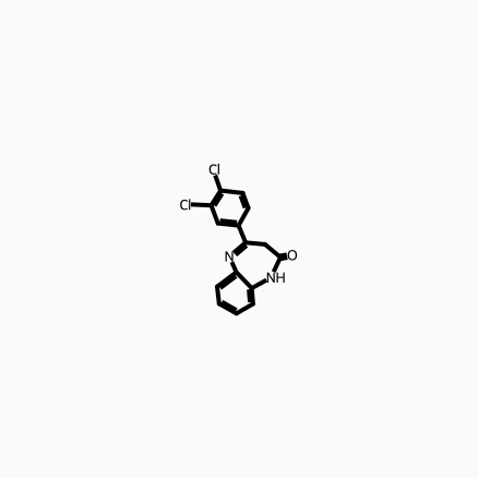 O=C1CC(c2ccc(Cl)c(Cl)c2)=Nc2ccccc2N1